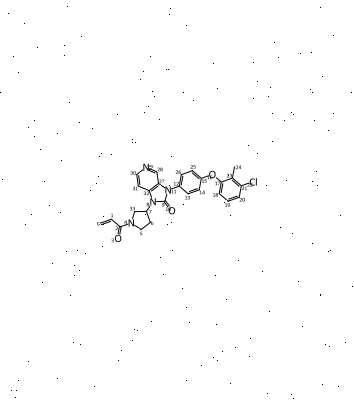 C=CC(=O)N1CCC(n2c(=O)n(-c3ccc(Oc4cccc(Cl)c4C)cc3)c3cnccc32)C1